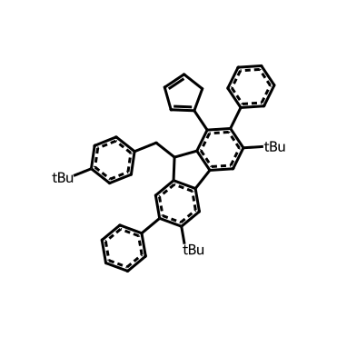 CC(C)(C)c1ccc(CC2c3cc(-c4ccccc4)c(C(C)(C)C)cc3-c3cc(C(C)(C)C)c(-c4ccccc4)c(C4=CC=CC4)c32)cc1